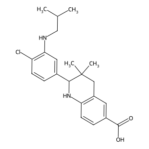 CC(C)CNc1cc(C2Nc3ccc(C(=O)O)cc3CC2(C)C)ccc1Cl